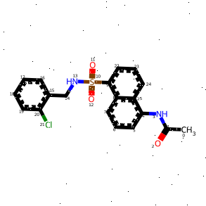 CC(=O)Nc1cccc2c(S(=O)(=O)NCc3ccccc3Cl)cccc12